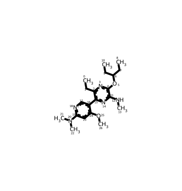 CCc1nc(OC(CC)CC)c(NC)nc1-c1cnc(N(C)C)cc1OC